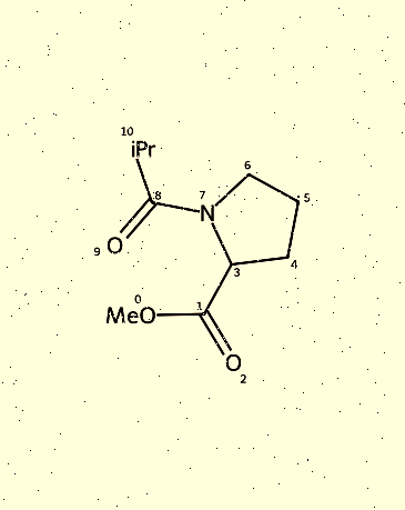 COC(=O)C1C[CH]CN1C(=O)C(C)C